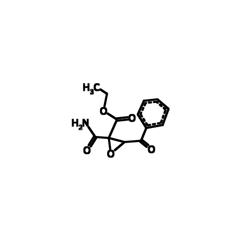 CCOC(=O)C1(C(N)=O)OC1C(=O)c1ccccc1